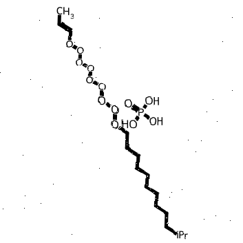 CC=COOOOOOOOOCCCCCCCCCCC(C)C.O=P(O)(O)O